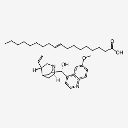 C=C[C@@H]1CN2CCC1C[C@@H]2[C@H](O)c1ccnc2ccc(OC)cc12.CCCCCCCCC=CCCCCCCCC(=O)O